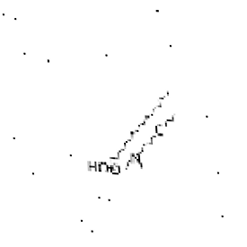 CCCCCCCCCCCCCCCCCC(=O)O.CCCCCCCCCCCN(CC)CC